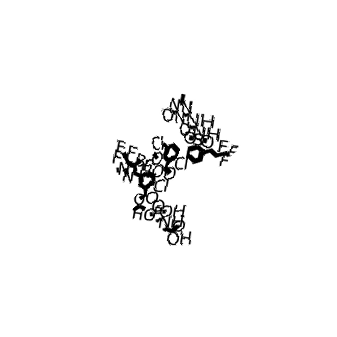 CC(C)OC(=O)c1cc(-c2nn(C)c(C(F)(F)F)c2Br)c(F)cc1Cl.COc1c(Cl)ccc(Cl)c1C(=O)O.COc1nc(C)nc(NC(=O)NS(=O)(=O)c2ccccc2CCC(F)(F)F)n1.O=C(O)CNCP(=O)(O)O